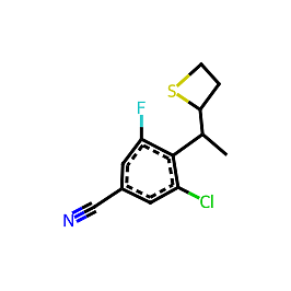 CC(c1c(F)cc(C#N)cc1Cl)C1CCS1